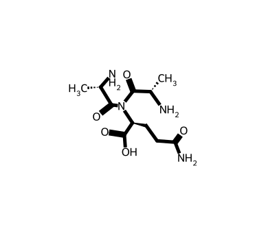 C[C@H](N)C(=O)N(C(=O)[C@H](C)N)[C@@H](CCC(N)=O)C(=O)O